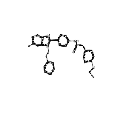 CCSc1ccc(CC(=O)Nc2ccc(-c3nc4ccc(C)cc4n3CCc3ccccc3)cc2)cc1